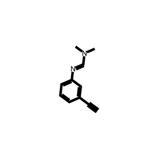 C#Cc1cccc(N=CN(C)C)c1